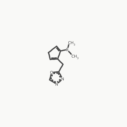 CB(C)C1=CCC=C1Cc1nnco1